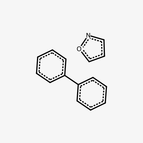 c1ccc(-c2ccccc2)cc1.c1cnoc1